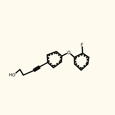 OCCC#Cc1ccc(Oc2ccccc2F)cc1